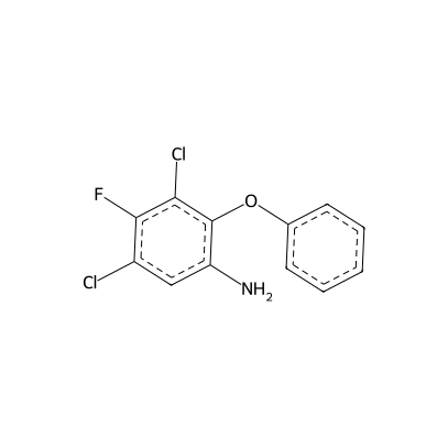 Nc1cc(Cl)c(F)c(Cl)c1Oc1ccccc1